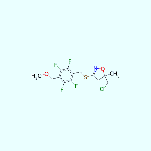 COCc1c(F)c(F)c(CSC2=NOC(C)(CCl)C2)c(F)c1F